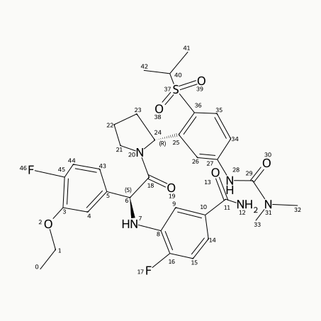 CCOc1cc([C@H](Nc2cc(C(N)=O)ccc2F)C(=O)N2CCC[C@@H]2c2cc(NC(=O)N(C)C)ccc2S(=O)(=O)C(C)C)ccc1F